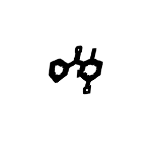 Cc1ccc(Cl)nc1C(=O)c1ccccc1